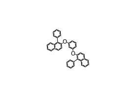 c1ccc(-c2c(Oc3cccc(Oc4ccc5ccccc5c4-c4ccccc4)c3)ccc3ccccc23)cc1